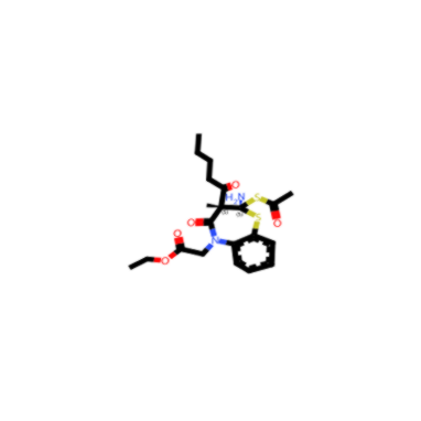 CCCCC(=O)[C@@]1(C)C(=O)N(CC(=O)OCC)c2ccccc2S[C@]1(N)SC(C)=O